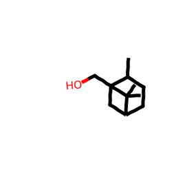 CC1CCC2CC1(CO)C2(C)C